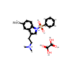 COc1ccc2c(c1)c(CCN(C)C)cn2S(=O)(=O)c1ccccc1.O=C(O)C(=O)O